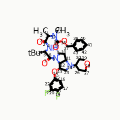 CC(C(=O)NC(C(=O)N1CCC2C1C(Oc1ccc(F)c(F)c1)CN2C1CCOCC1)C(C)(C)C)N(C)C(=O)OCc1ccccc1